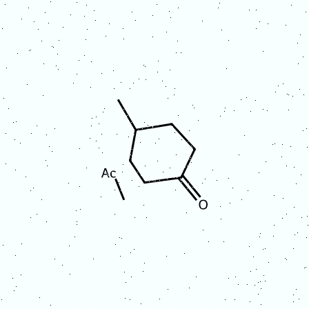 CC(C)=O.CC1CCC(=O)CC1